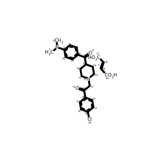 CN(C)c1ccc(C(=O)C2CCN(CC(=O)c3ccc(Cl)cc3)CC2)cc1.O=C(O)/C=C/C(=O)O